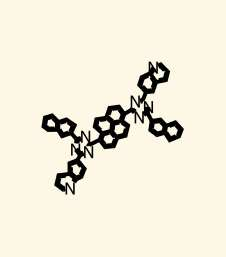 c1ccc2cc(-c3nc(-c4ccc5ncccc5c4)nc(-c4ccc5ccc6c(-c7nc(-c8ccc9ccccc9c8)nc(-c8ccc9ncccc9c8)n7)ccc7ccc4c5c76)n3)ccc2c1